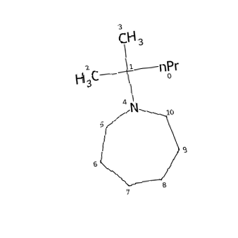 CCCC(C)(C)N1CCCCCC1